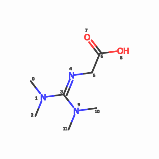 CN(C)C(=NCC(=O)O)N(C)C